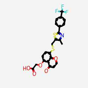 Cc1nc(-c2ccc(C(F)(F)F)cc2)sc1CSc1ccc(OCC(=O)O)c2c(=O)ccoc12